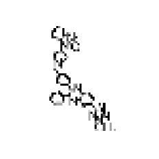 Cn1nnc(-c2ccc3nc(-c4ccc(CN5CCC(N6C(=O)[N]c7ccccc76)CC5)cc4)c(-c4ccccc4)nc3c2)n1